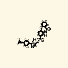 O=C(NCc1cnc(-c2ccc(C3CC3)cc2)s1)c1ccc2c(c1)NC(=O)c1ccccc1S2